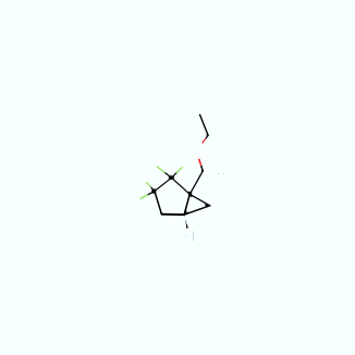 CCO[C@H](C)C12C[C@@H]1CC(F)(F)C2(F)F